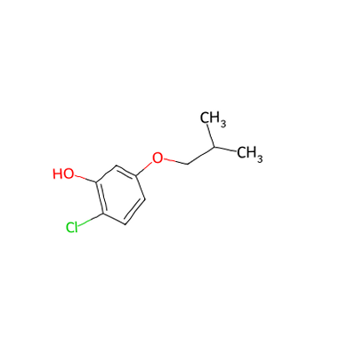 CC(C)COc1ccc(Cl)c(O)c1